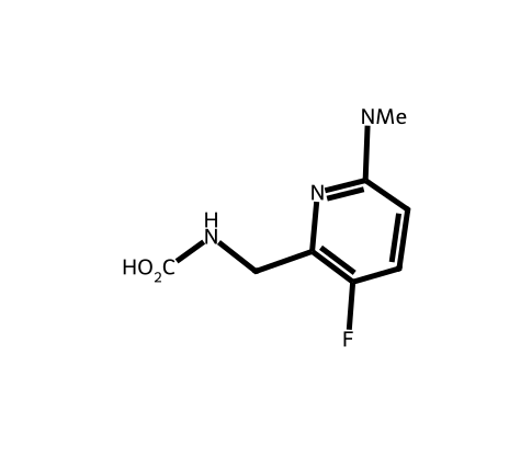 CNc1ccc(F)c(CNC(=O)O)n1